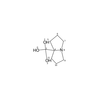 OC(O)(O)C12CCCN1CCC2